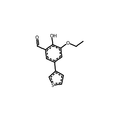 CCOc1cc(-c2ccsc2)cc(C=O)c1O